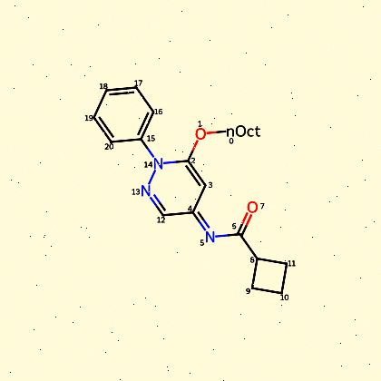 CCCCCCCCOc1c/c(=N\C(=O)C2CCC2)cnn1-c1ccccc1